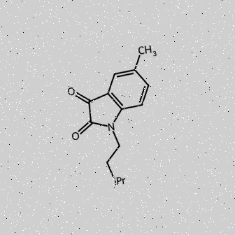 Cc1ccc2c(c1)C(=O)C(=O)N2CCC(C)C